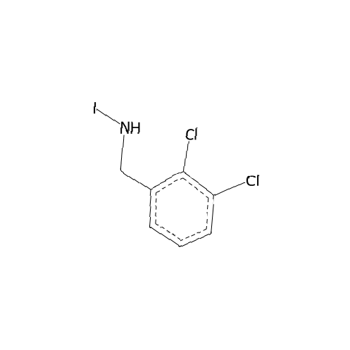 Clc1cccc(CNI)c1Cl